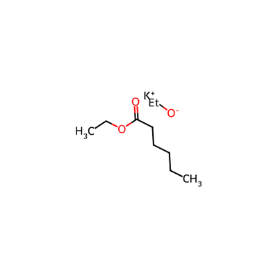 CCCCCC(=O)OCC.CC[O-].[K+]